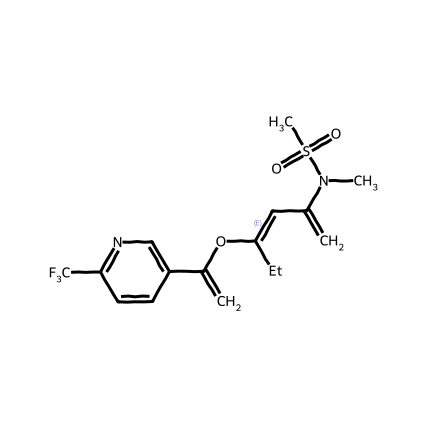 C=C(O/C(=C/C(=C)N(C)S(C)(=O)=O)CC)c1ccc(C(F)(F)F)nc1